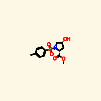 COC(=O)[C@H]1C[C@@H](O)CN1S(=O)(=O)c1ccc(C)cc1